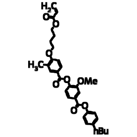 C=CC(=O)OCCCCOc1ccc(C(=O)Oc2ccc(C(=O)Oc3ccc(CCCC)cc3)cc2OC)cc1C